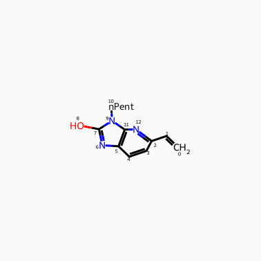 C=Cc1ccc2nc(O)n(CCCCC)c2n1